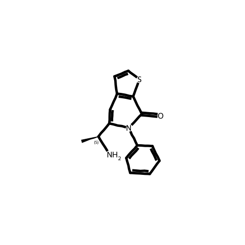 C[C@H](N)c1cc2ccsc2c(=O)n1-c1ccccc1